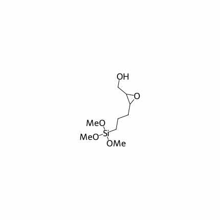 CO[Si](CCCC1OC1CO)(OC)OC